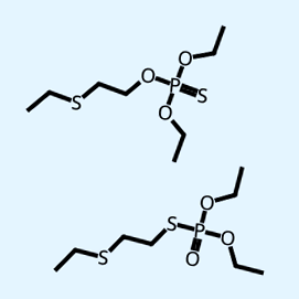 CCOP(=O)(OCC)SCCSCC.CCOP(=S)(OCC)OCCSCC